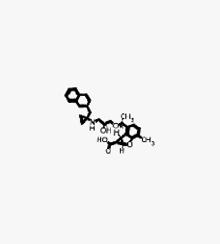 Cc1ccc([C@@H](C)OC[C@H](O)CNC2(Cc3ccc4ccccc4c3)CC2)c2c1O[C@H]1C(C(=O)O)[C@@H]21